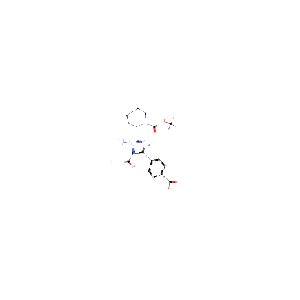 CC(C)(C)OC(=O)N1CCCC[C@H]1c1nc(-c2ccc(C(=O)O)cc2)c(C(N)=O)n1N